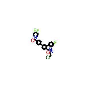 O=C(c1ccc(-c2ccc(-c3nnc(CCl)o3)c(-c3ccc(F)cc3)c2)cc1)N1CCC(F)(F)CC1